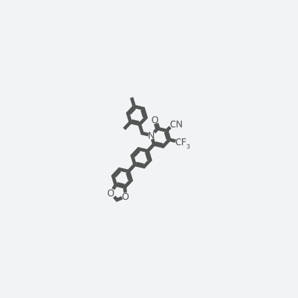 Cc1ccc(Cn2c(-c3ccc(-c4ccc5c(c4)OCO5)cc3)cc(C(F)(F)F)c(C#N)c2=O)c(C)c1